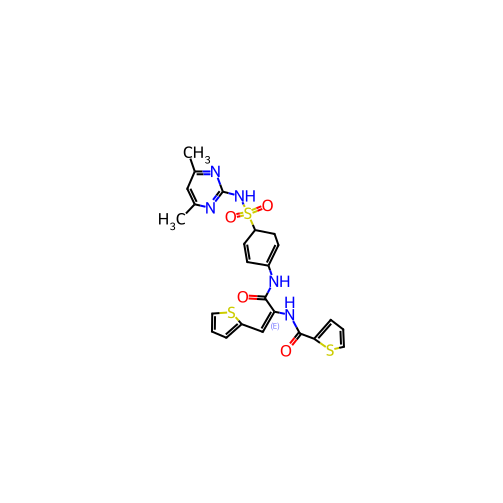 Cc1cc(C)nc(NS(=O)(=O)C2C=CC(NC(=O)/C(=C\c3cccs3)NC(=O)c3cccs3)=CC2)n1